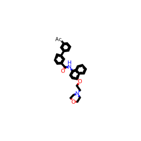 CC(=O)c1cccc(-c2cccc(C(=O)Nc3ccc(OCCN4CCOCC4)c4ccccc34)c2)c1